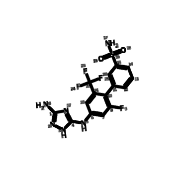 Nc1n[nH]c(Nc2cc(F)c(-c3cccc(S(N)(=O)=O)c3)c(C(F)(F)F)c2)n1